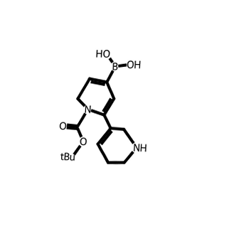 CC(C)(C)OC(=O)N1CC=C(B(O)O)C=C1C1=CCCNC1